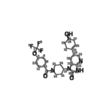 O=C(c1ccc(OC(F)(F)F)cc1)N1CCC(n2c(=O)[nH]c3ncc(C4=CC[C@H](O)CC4)cc32)CC1